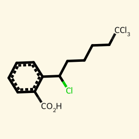 O=C(O)c1ccccc1C(Cl)CCCCC(Cl)(Cl)Cl